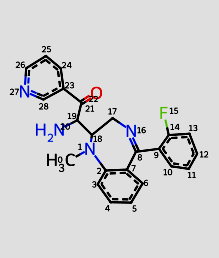 CN1c2ccccc2C(c2ccccc2F)=NCC1C(N)C(=O)c1cccnc1